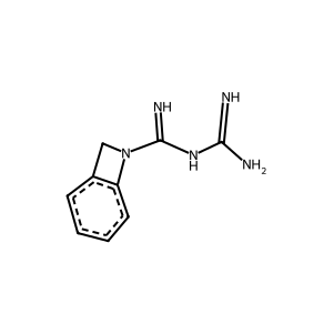 N=C(N)NC(=N)N1Cc2ccccc21